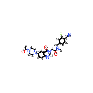 CC(=O)N1CCN(c2ccc3ncn(CC(=O)N(C)Cc4ccc(C#N)c(F)c4)c(=O)c3c2)CC1